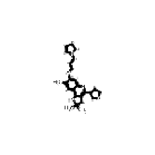 Cc1cc2c3c(c(C4CCOC4)nc2cc1OCCCN1CCCC1)CC(C)(C)N3